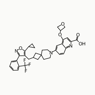 O=C(O)c1cc(OC2COC2)c2cc(N3CCC4(CC3)CC(Cc3c(-c5ccccc5C(F)(F)F)noc3C3CC3)C4)ccc2n1